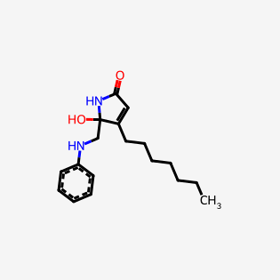 CCCCCCCC1=CC(=O)NC1(O)CNc1ccccc1